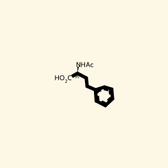 CC(=O)N[C@H](CCc1ccccc1)C(=O)O